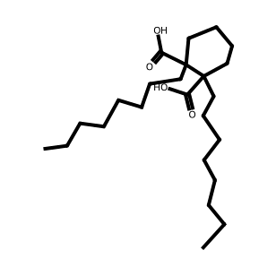 CCCCCCCCC1(C(=O)O)CCCCC1(CCCCCCCC)C(=O)O